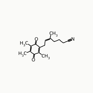 CC(=CCC1=C(C)C(=O)C(C)=C(C)C1=O)CCCC#N